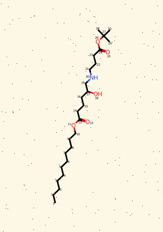 CCCCCCCCCCCOC(=O)CCCC(O)CNCCCC(=O)OC(C)(C)C